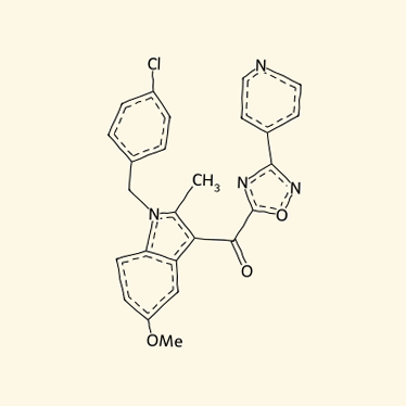 COc1ccc2c(c1)c(C(=O)c1nc(-c3ccncc3)no1)c(C)n2Cc1ccc(Cl)cc1